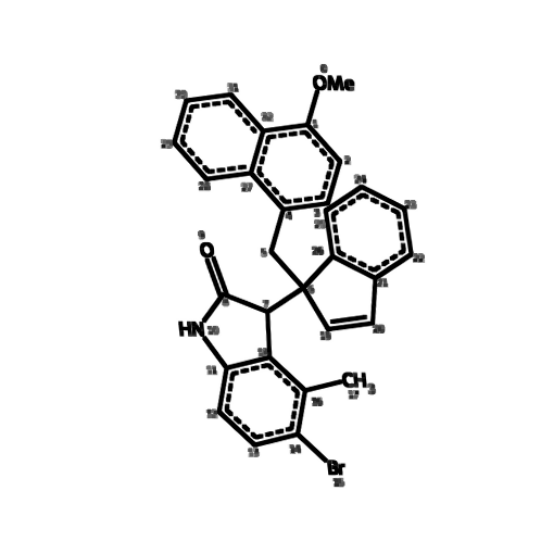 COc1ccc(CC2(C3C(=O)Nc4ccc(Br)c(C)c43)C=Cc3ccccc32)c2ccccc12